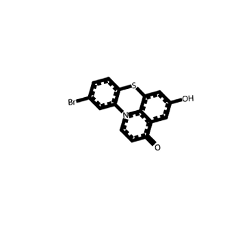 O=c1ccn2c3c(cc(O)cc13)Sc1ccc(Br)cc1-2